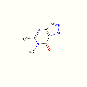 Cc1nc2cn[nH]c2c(=O)n1C